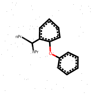 CCCC(CCC)c1ccccc1Oc1[c]cccc1